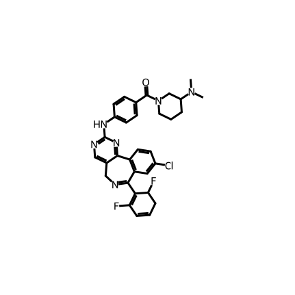 CN(C)C1CCCN(C(=O)c2ccc(Nc3ncc4c(n3)-c3ccc(Cl)cc3C(C3=C(F)C=CCC3F)=NC4)cc2)C1